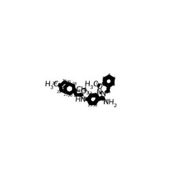 COc1ccccc1Cn1nc2cc(NC(=O)CC3(C)CC4CC(C)CC(C4)C3)ccc2c1N